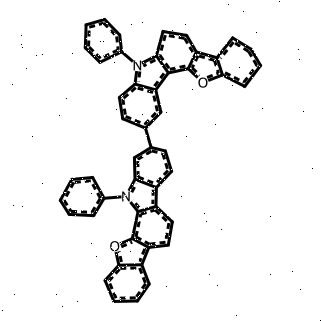 c1ccc(-n2c3ccc(-c4ccc5c6ccc7c8ccccc8oc7c6n(-c6ccccc6)c5c4)cc3c3c4oc5ccccc5c4ccc32)cc1